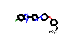 O=C(O)C[C@H]1CC[C@@H](OC2CCN(c3ccc(-c4nc5ccc(F)cc5[nH]4)cn3)CC2)CC1